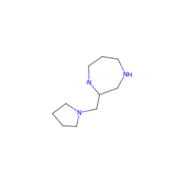 C1C[N]C(CN2CCCC2)CNC1